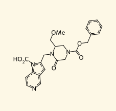 COCC1CN(C(=O)OCc2ccccc2)CC(=O)N1Cc1cc2cnccc2n1C(=O)O